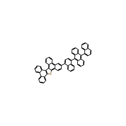 c1ccc2c(-c3c4ccccc4c(-c4ccc(-c5ccc6c(c5)c5ccccc5c5c6sc6c7ccccc7c7ccccc7c65)c5ccccc45)c4ccccc34)cccc2c1